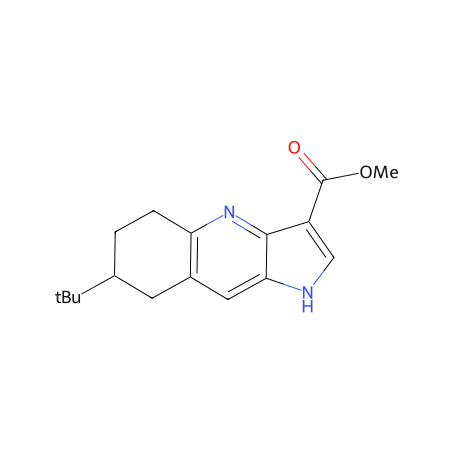 COC(=O)c1c[nH]c2cc3c(nc12)CCC(C(C)(C)C)C3